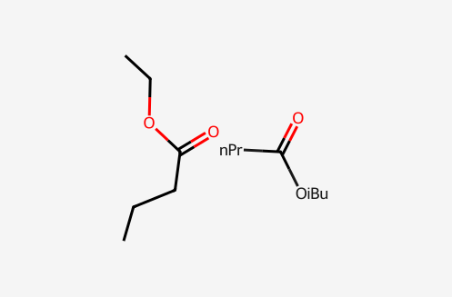 CCCC(=O)OCC.CCCC(=O)OCC(C)C